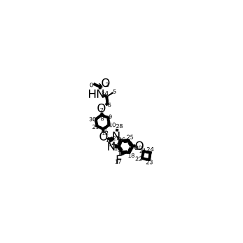 CC(=O)N[C@@H](C)COC1CCC(Oc2nc3c(F)cc(OC4CCC4)cc3n2C)CC1